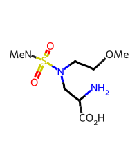 CNS(=O)(=O)N(CCOC)CC(N)C(=O)O